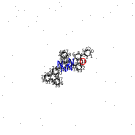 c1ccc(-c2cccc3c2oc2cccc(-c4nc5c6c(nc(-c7ccc8c9ccccc9c9ccccc9c8c7)nc6n4)-c4ccccc4-5)c23)cc1